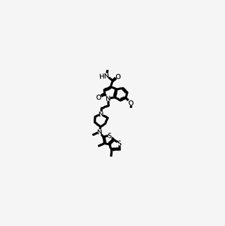 CNC(=O)c1cc(=O)n(CCN2CCC(N(C)c3sc4scc(C)c4c3C)CC2)c2cc(OC)ccc12